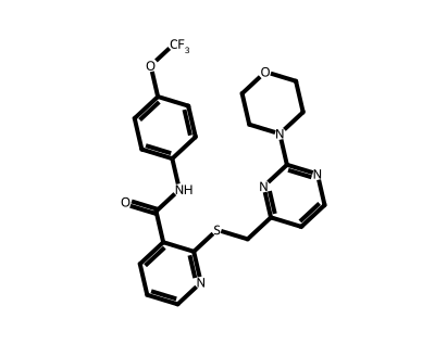 O=C(Nc1ccc(OC(F)(F)F)cc1)c1cccnc1SCc1ccnc(N2CCOCC2)n1